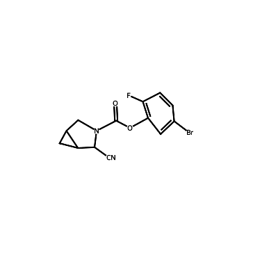 N#CC1C2CC2CN1C(=O)Oc1cc(Br)ccc1F